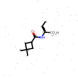 CC=C(NC(=O)C1CC(C)(C)C1)C(=O)O